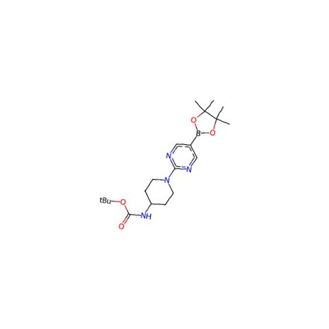 CC(C)(C)OC(=O)NC1CCN(c2ncc(B3OC(C)(C)C(C)(C)O3)cn2)CC1